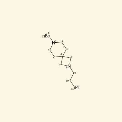 CCCCN1CCC2(CC1)CN(CCC(C)C)C2